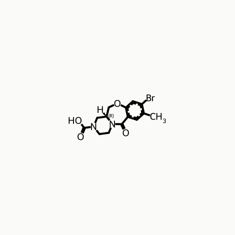 Cc1cc2c(cc1Br)OC[C@H]1CN(C(=O)O)CCN1C2=O